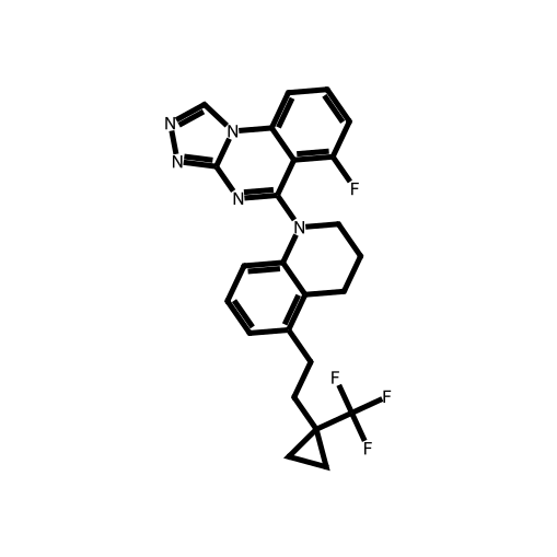 Fc1cccc2c1c(N1CCCc3c(CCC4(C(F)(F)F)CC4)cccc31)nc1nncn12